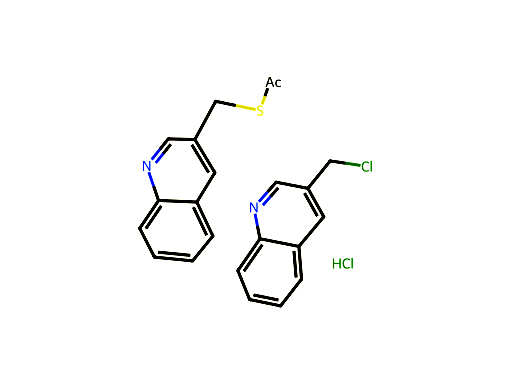 CC(=O)SCc1cnc2ccccc2c1.Cl.ClCc1cnc2ccccc2c1